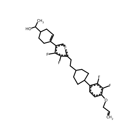 C=CCOc1ccc(C2CCC(CCc3ccc(C4=CCC(C(C)O)CC4)c(F)c3F)CC2)c(F)c1F